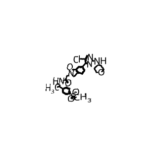 CC(NC(=O)CN1Cc2ccc(-c3nc(NC4CCOCC4)ncc3Cl)cc2C1=O)c1ccc(S(C)(=O)=O)cc1